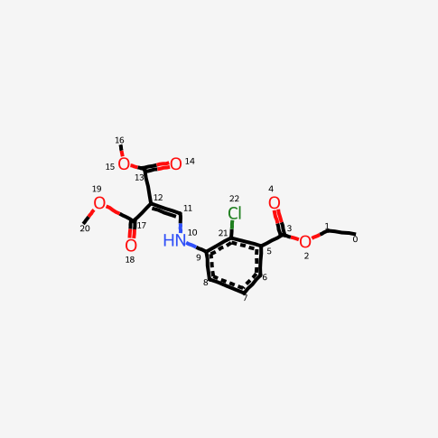 CCOC(=O)c1cccc(NC=C(C(=O)OC)C(=O)OC)c1Cl